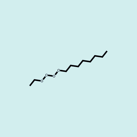 CCCCCCCCOOOOCC